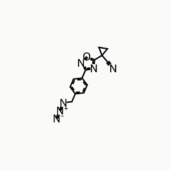 N#CC1(c2nc(-c3ccc(CN=[N+]=[N-])cc3)no2)CC1